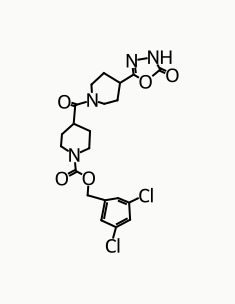 O=C(OCc1cc(Cl)cc(Cl)c1)N1CCC(C(=O)N2CCC(c3n[nH]c(=O)o3)CC2)CC1